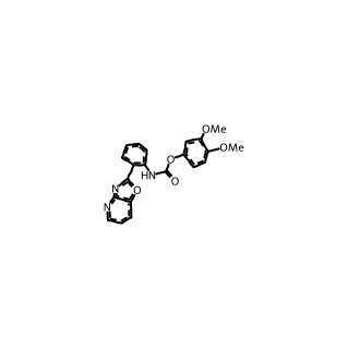 COc1ccc(OC(=O)Nc2ccccc2-c2nc3ncccc3o2)cc1OC